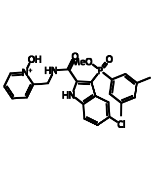 COP(=O)(c1cc(C)cc(C)c1)c1c(C(=O)NCc2cccc[n+]2O)[nH]c2ccc(Cl)cc12